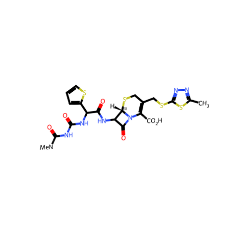 CNC(=O)NC(=O)NC(C(=O)NC1C(=O)N2C(C(=O)O)=C(CSc3nnc(C)s3)CS[C@@H]12)c1cccs1